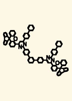 c1ccc(-c2ccc(-c3cc(-c4cccc5c4Oc4ccccc4C54c5ccccc5-c5ccccc54)nc(-c4ccc(-c5cccc(-c6ccc(-c7cc(-c8cccc9c8Oc8ccccc8C98c9ccccc9-c9ccccc98)nc(-c8ccc(-c9ccccc9)cc8)n7)cc6)c5)cc4)n3)cc2)cc1